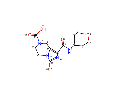 O=C(NC1CCOCC1)c1nc(Br)n2c1CN(C(=O)O)CC2